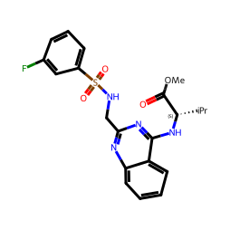 COC(=O)[C@@H](Nc1nc(CNS(=O)(=O)c2cccc(F)c2)nc2ccccc12)C(C)C